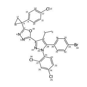 CCc1c(-c2nnc(C3(c4ccc(Cl)cc4)CC3)o2)nn(-c2ccc(Cl)cc2Cl)c1-c1ccc(Br)cc1